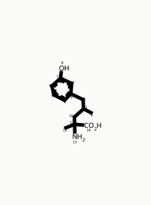 CC(Cc1cccc(O)c1)CC(C)(N)C(=O)O